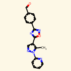 Cc1c(-c2nc(-c3ccc(C=O)cc3)no2)cnn1-c1ccccn1